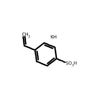 C=Cc1ccc(S(=O)(=O)O)cc1.[KH]